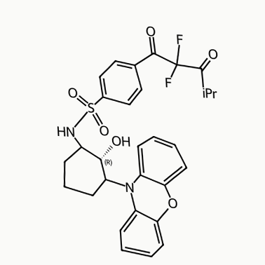 CC(C)C(=O)C(F)(F)C(=O)c1ccc(S(=O)(=O)NC2CCCC(N3c4ccccc4Oc4ccccc43)[C@H]2O)cc1